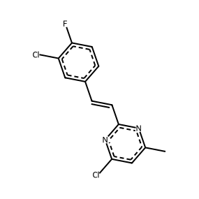 Cc1cc(Cl)nc(/C=C/c2ccc(F)c(Cl)c2)n1